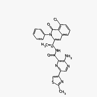 Cc1nc(-c2cnc(N)c(C(=O)N[C@@H](C)c3cc4cccc(Cl)c4c(=O)n3-c3ccccc3)n2)cs1